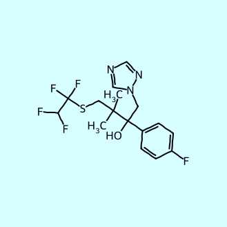 CC(C)(CSC(F)(F)C(F)F)C(O)(Cn1cncn1)c1ccc(F)cc1